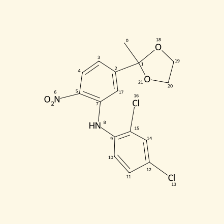 CC1(c2ccc([N+](=O)[O-])c(Nc3ccc(Cl)cc3Cl)c2)OCCO1